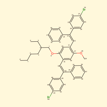 CCCCC(CC)COc1cc(/C=C(\c2ccccc2)c2ccc(Br)cc2)c(OC)cc1/C=C(\c1ccccc1)c1ccc(Br)cc1